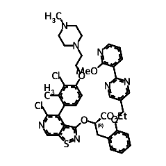 CCOC(=O)[C@@H](Cc1ccccc1OCc1cnc(-c2cccnc2OC)nc1)Oc1nsc2cnc(Cl)c(-c3ccc(OCCN4CCN(C)CC4)c(Cl)c3C)c12